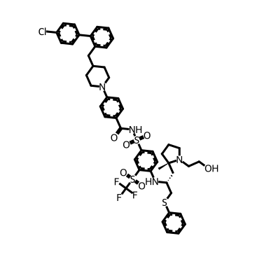 C[C@@]1(C[C@H](CSc2ccccc2)Nc2ccc(S(=O)(=O)NC(=O)c3ccc(N4CCC(Cc5ccccc5-c5ccc(Cl)cc5)CC4)cc3)cc2S(=O)(=O)C(F)(F)F)CCCN1CCO